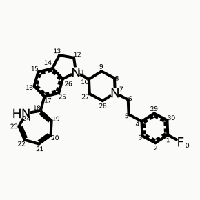 Fc1ccc(CCN2CCC(N3CCc4ccc(C5=CC=CC=CN5)cc43)CC2)cc1